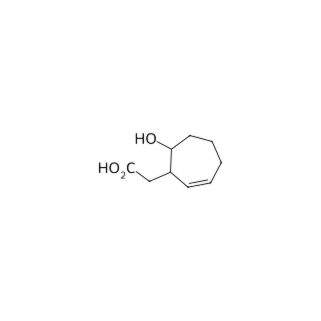 O=C(O)CC1C=CCCCC1O